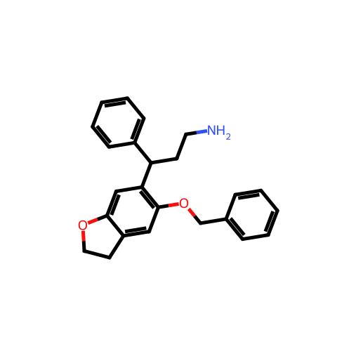 NCCC(c1ccccc1)c1cc2c(cc1OCc1ccccc1)CCO2